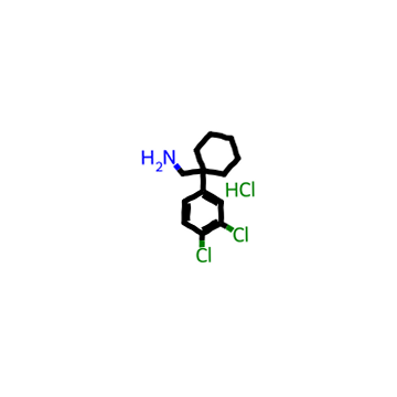 Cl.NCC1(c2ccc(Cl)c(Cl)c2)CCCCC1